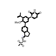 C=C(C)c1cc(-n2ccc(=O)[nH]c2=O)cc(-c2ccc3c(c2)CC/C3=N\NS(C)(=O)=O)c1OC